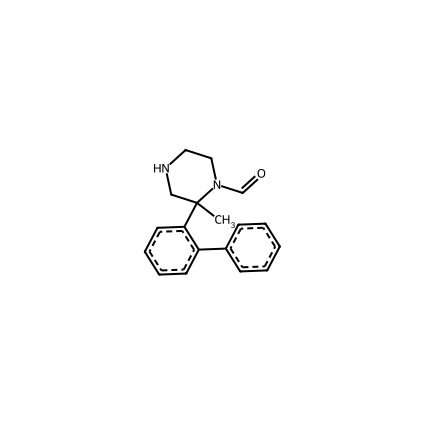 CC1(c2ccccc2-c2ccccc2)CNCCN1C=O